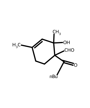 CCCCC(=O)C1(C=O)CCC(C)=CC1(C)O